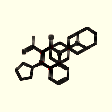 CC(=O)c1nc2ccccc2n(C2CC3CCCC(C2)N3C2CC3CC(CC(C4CCCC4)C3)C2)c1=O